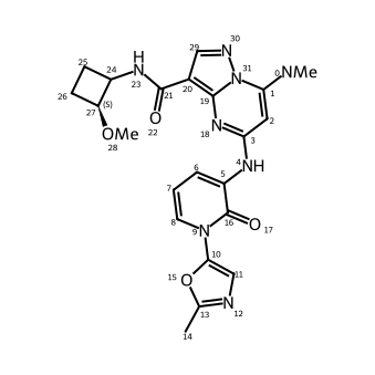 CNc1cc(Nc2cccn(-c3cnc(C)o3)c2=O)nc2c(C(=O)NC3CC[C@@H]3OC)cnn12